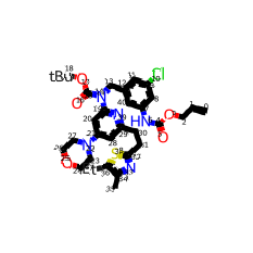 C=CCOC(=O)Nc1cc(Cl)cc(CN(C(=O)OC(C)(C)C)c2cc(N3CCOCC3)cc(CCc3nc(C)c(CC)s3)n2)c1